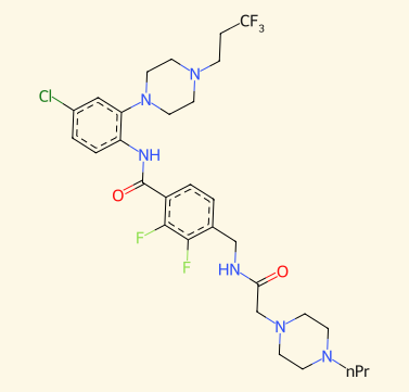 CCCN1CCN(CC(=O)NCc2ccc(C(=O)Nc3ccc(Cl)cc3N3CCN(CCC(F)(F)F)CC3)c(F)c2F)CC1